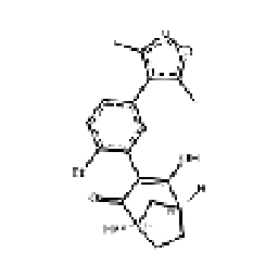 CCc1ccc(-c2c(C)noc2C)cc1C1=C(O)[C@H]2CC[C@H](C2)C1=O